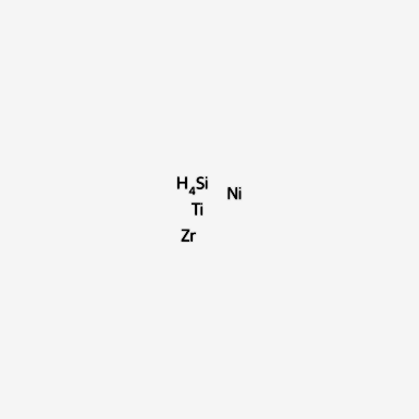 [Ni].[SiH4].[Ti].[Zr]